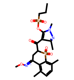 CCCS(=O)(=O)Oc1c(C(=O)C2C/C(=N\OC)c3c(C)ccc(C)c3S2(=O)=O)c(C)nn1C